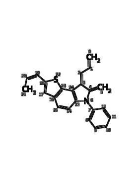 C=C/C=c1\c(=C)n(-c2ccccc2)c2ccc3cc(/C=C\C)sc3c12